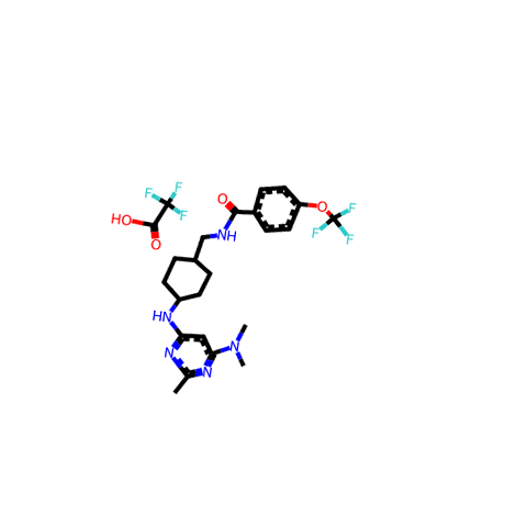 Cc1nc(NC2CCC(CNC(=O)c3ccc(OC(F)(F)F)cc3)CC2)cc(N(C)C)n1.O=C(O)C(F)(F)F